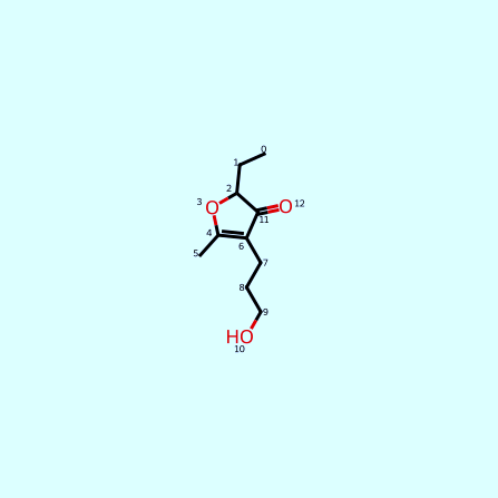 CCC1OC(C)=C(CCCO)C1=O